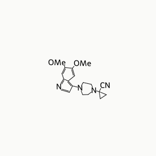 COc1cc2nccc(N3CCN(C4(C#N)CC4)CC3)c2cc1OC